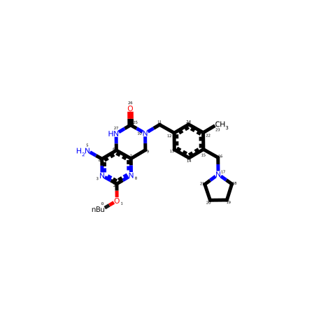 CCCCOc1nc(N)c2c(n1)CN(Cc1ccc(CN3CCCC3)c(C)c1)C(=O)N2